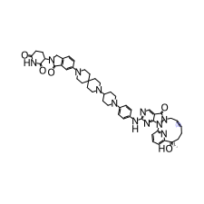 C[C@@]1(O)CC/C=C\Cn2c(=O)c3cnc(Nc4ccc(N5CCC(N6CCC7(CCN(c8ccc9c(c8)C(=O)N(C8CCC(=O)NC8=O)C9)CC7)CC6)CC5)cc4)nc3n2-c2cccc1n2